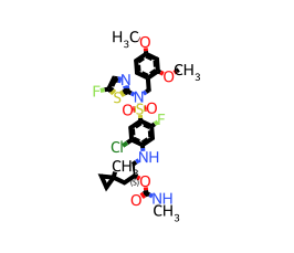 CNC(=O)O[C@H](CNc1cc(F)c(S(=O)(=O)N(Cc2ccc(OC)cc2OC)c2ncc(F)s2)cc1Cl)CC1(C)CC1